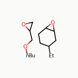 [CH2]CC1CCC2OC2C1.[CH2]CCCOCC1CO1